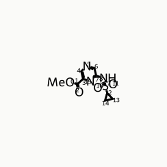 COC(=O)c1cncc(NS(=O)(=O)C2CC2)n1